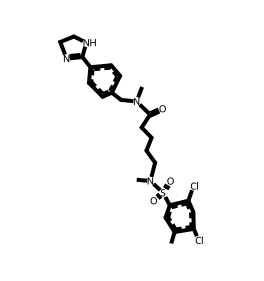 Cc1cc(S(=O)(=O)N(C)CCCCC(=O)N(C)Cc2ccc(C3=NCCN3)cc2)c(Cl)cc1Cl